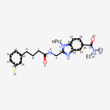 CCCn1c(C[N]C(=O)CCCc2cccc(F)c2)nc2cc(C(=O)N(CC)CC)ccc21